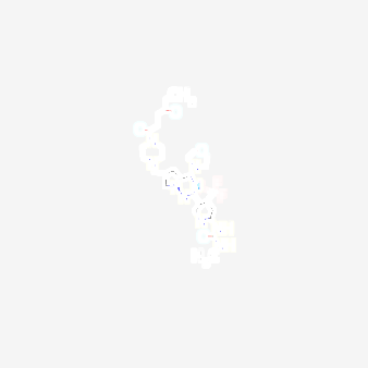 C=CC(=O)CCC(=O)N1CCN(Cc2cc3c(N4CCOCC4)nc(-c4cnc(NC(=O)NC)cc4C(F)(F)F)nn3c2)CC1